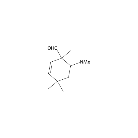 CNC1CC(C)(C)C=CC1(C)C=O